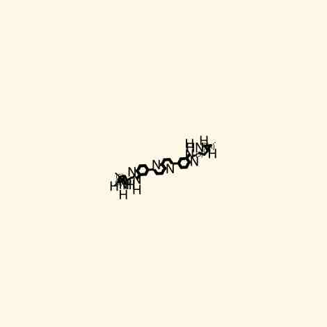 C[C@@H]1[C@@H]2C[C@@H](c3nc4ccc(-c5ccc6nc(-c7ccc8nc([C@H]9N[C@H]%10[C@H]%11C9[C@]%11%10C)[nH]c8c7)ccc6n5)cc4[nH]3)N[C@H]12